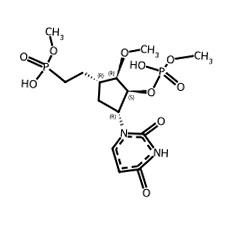 CO[C@@H]1[C@@H](CCP(=O)(O)OC)C[C@@H](n2ccc(=O)[nH]c2=O)[C@@H]1OP(=O)(O)OC